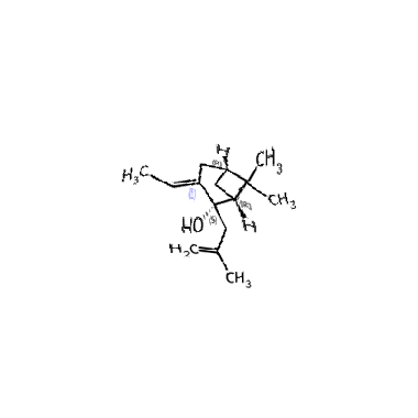 C=C(C)C[C@@]1(O)/C(=C/C)C[C@H]2C[C@@H]1C2(C)C